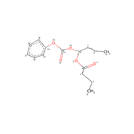 CCCC(=O)OC(CCC)OC(=O)Oc1ccccc1